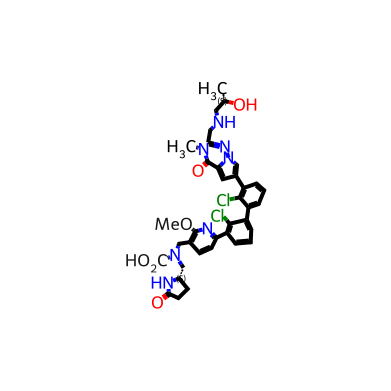 COc1nc(-c2cccc(-c3cccc(-c4cc5c(=O)n(C)c(CNC[C@H](C)O)nn5c4)c3Cl)c2Cl)ccc1CN(C[C@@H]1CCC(=O)N1)C(=O)O